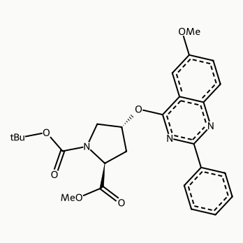 COC(=O)[C@@H]1C[C@@H](Oc2nc(-c3ccccc3)nc3ccc(OC)cc23)CN1C(=O)OC(C)(C)C